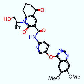 COc1cc2ncnc(Oc3ccc(NC(=O)c4cc5c(n(C(CO)C(C)C)c4=O)CCCC5=O)nc3)c2cc1OC